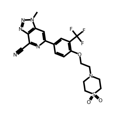 Cn1nnc2c(C#N)nc(-c3ccc(OCCN4CCS(=O)(=O)CC4)c(C(F)(F)F)c3)cc21